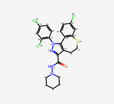 O=C(NN1CCCCC1)c1nn(-c2ccc(Cl)cc2Cl)c2c1CCSc1cc(Cl)ccc1-2